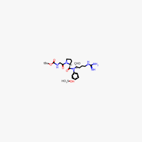 CC(C)(C)OC(=O)NCC(=O)N1CCC[C@H]1C(=O)N(c1ccccc1)[C@H](C=O)CCCNC(=N)N.O=S(=O)(O)O